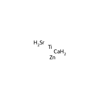 [CaH2].[SrH2].[Ti].[Zn]